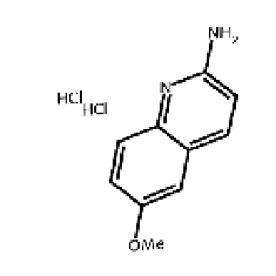 COc1ccc2nc(N)ccc2c1.Cl.Cl